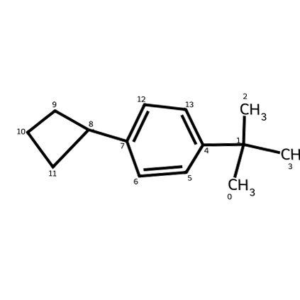 CC(C)(C)c1ccc([C]2CCC2)cc1